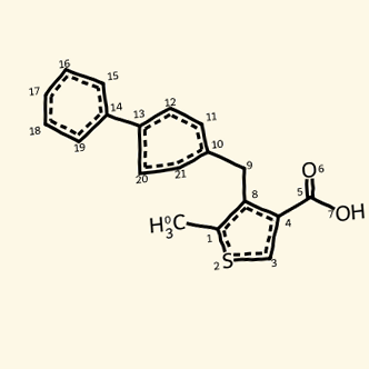 Cc1scc(C(=O)O)c1Cc1ccc(-c2ccccc2)cc1